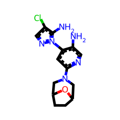 Nc1cnc(N2CC3CCC(C2)O3)cc1-n1ncc(Cl)c1N